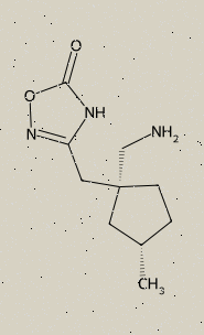 C[C@H]1CC[C@](CN)(Cc2noc(=O)[nH]2)C1